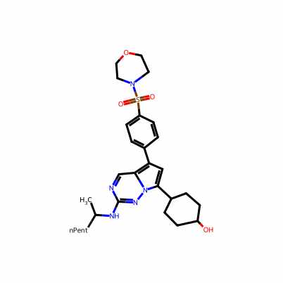 CCCCCC(C)Nc1ncc2c(-c3ccc(S(=O)(=O)N4CCOCC4)cc3)cc(C3CCC(O)CC3)n2n1